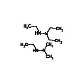 CCNN(C)C.CCNN(CC)CC